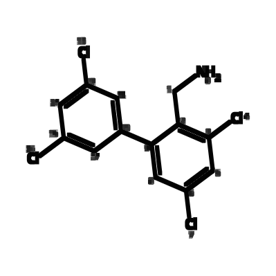 NCc1c(Cl)cc(Cl)cc1-c1cc(Cl)cc(Cl)c1